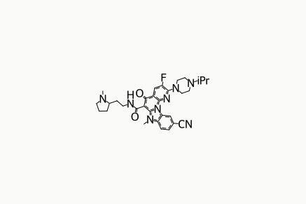 CC(C)N1CCN(c2nc3c(cc2F)c(=O)c(C(=O)NCCC2CCCN2C)c2n(C)c4ccc(C#N)cc4n32)CC1